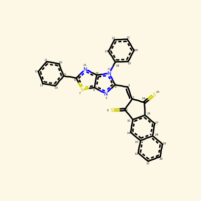 S=C1C(=Cc2nc3sc(-c4ccccc4)nc3n2-c2ccccc2)C(=S)c2cc3ccccc3cc21